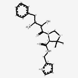 CC1(C)SCN(C(=O)C(O)C(N)Cc2ccccc2)C1C(=O)NCc1ccco1